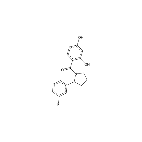 O=C(c1ccc(O)cc1O)N1CCCC1c1cccc(F)c1